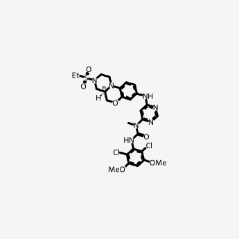 CCS(=O)(=O)N1CCN2c3ccc(Nc4cc(N(C)C(=O)Nc5c(Cl)c(OC)cc(OC)c5Cl)ncn4)cc3OC[C@H]2C1